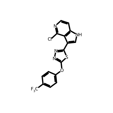 FC(F)(F)c1ccc(Oc2nnc(-c3c[nH]c4ccnc(Cl)c34)s2)cc1